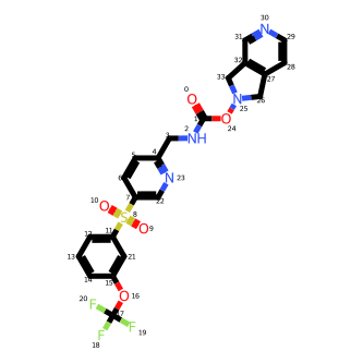 O=C(NCc1ccc(S(=O)(=O)c2cccc(OC(F)(F)F)c2)cn1)ON1Cc2ccncc2C1